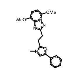 COc1ccc(OC)n2nc(CCc3nc(-c4ccccc4)cn3C)nc12